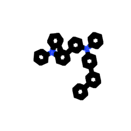 c1ccc(-c2cccc(-c3ccc(N(c4ccccc4)c4cccc(-c5cccc6c5c5ccccc5n6-c5ccccc5)c4)cc3)c2)cc1